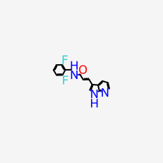 O=C(C=Cc1c[nH]c2ncccc12)NCc1c(F)cccc1F